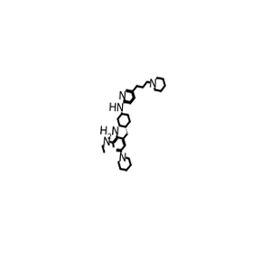 C=C(\C=C(C[C@H]1CC[C@@H](Nc2ccc(CCCN3CCCCC3)cn2)CC1)/C(N)=C(C)/N=C\C)N1CCCCC1